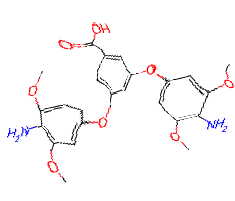 COc1cc(Oc2cc(Oc3cc(OC)c(N)c(OC)c3)cc(C(=O)O)c2)cc(OC)c1N